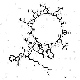 CCC(C)CCCCCCCCC(=O)NC(Cc1c[nH]c2ccccc12)C(=O)NC(CC(N)=O)C(=O)NC(CC(=O)O)C(=O)NC1C(=O)NCC(=O)NC(CCCN)C(=O)NC(CC(=O)O)C(=O)NC(CC(N)=O)C(=O)NC(CC(=O)O)C(=O)NCC(=O)NC(CO)C(=O)NC(CCC(=O)O)C(=O)NC(Cc2c[nH]c3ccccc23)C(=O)OC1C